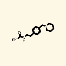 CCCC(=O)NCCc1ccc(CN2CCCCC2)cc1